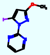 COc1cc(I)n(-c2ncccn2)n1